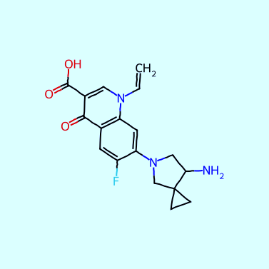 C=Cn1cc(C(=O)O)c(=O)c2cc(F)c(N3CC(N)C4(CC4)C3)cc21